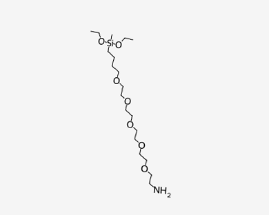 CCO[Si](C)(CCCCOCCOCCOCCOCCOCCN)OCC